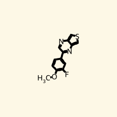 COc1ccc(-c2cnc3cscc3n2)cc1F